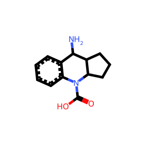 NC1c2ccccc2N(C(=O)O)C2CCCC12